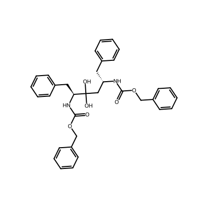 O=C(N[C@@H](Cc1ccccc1)CC(O)(O)[C@H](Cc1ccccc1)NC(=O)OCc1ccccc1)OCc1ccccc1